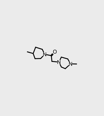 CC1CCN(C(=O)CN2CCN(C)CC2)CC1